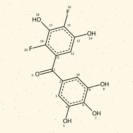 O=C(c1cc(O)c(O)c(O)c1)c1cc(O)c(F)c(O)c1F